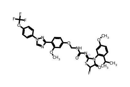 COc1ccc(C(C)C)c(N2C(=O)C(F)S/C2=N\C(=O)NCOc2ccc(-c3ncn(-c4ccc(OC(F)(F)F)cc4)n3)c(OC)c2)c1